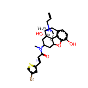 C=CCN1CC[C@]23c4c5ccc(O)c4OC2CC(N(C)C(=O)/C=C/c2cc(Br)cs2)C[C@@]3(O)[C@H]1C5